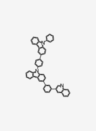 c1ccc(-n2c3ccccc3c3cc(-c4ccc(-n5c6ccccc6c6cc(-c7cccc(-c8cnc9ccccc9c8)c7)ccc65)cc4)ccc32)cc1